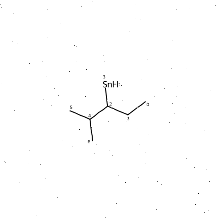 CC[CH]([SnH])C(C)C